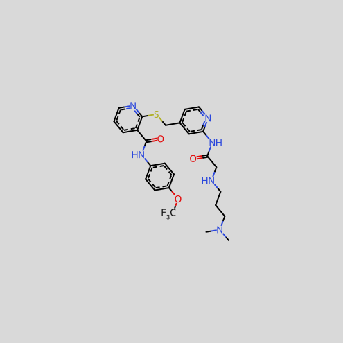 CN(C)CCCNCC(=O)Nc1cc(CSc2ncccc2C(=O)Nc2ccc(OC(F)(F)F)cc2)ccn1